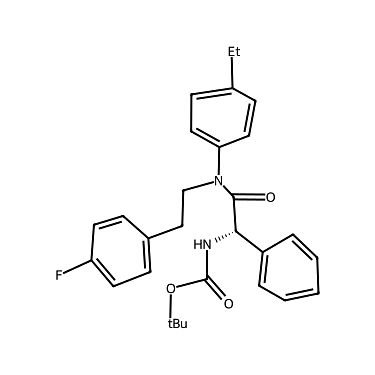 CCc1ccc(N(CCc2ccc(F)cc2)C(=O)[C@@H](NC(=O)OC(C)(C)C)c2ccccc2)cc1